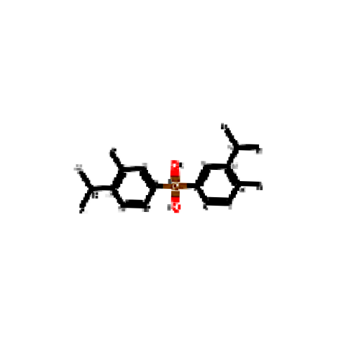 Cc1cc(S(=O)(=O)c2ccc(C)c(C(C)C)c2)ccc1C(C)C